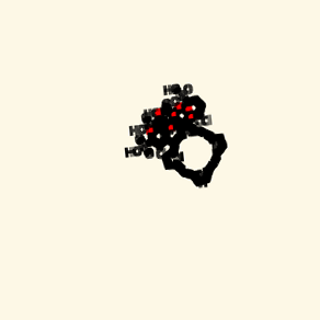 O=S(=O)(O)c1ccc(Cl)c(-c2c(-c3c(Cl)ccc(S(=O)(=O)O)c3Cl)c3c(-c4c(Cl)ccc(S(=O)(=O)O)c4Cl)c4nc(cc5ccc(cc6nc(cc2n3-c2c(Cl)ccc(S(=O)(=O)O)c2Cl)C=C6)[nH]5)C=C4)c1Cl